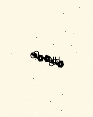 COC(=O)C[C@H]1CC[C@H](c2ccc(NC(=O)OCc3ccccc3)cc2)CC1